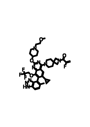 C=C(F)C(=O)N1CC2(CCN(c3nc(OC4CCN(CCOC)CC4)nc4c(OCC(F)(F)F)c(-c5c(C)ccc6[nH]nnc56)c(C5CC5)cc34)CC2)C1